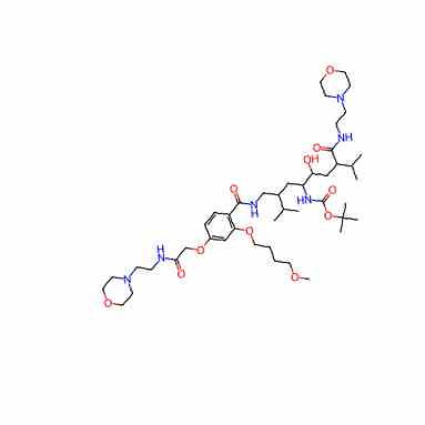 COCCCCOc1cc(OCC(=O)NCCN2CCOCC2)ccc1C(=O)NCC(CC(NC(=O)OC(C)(C)C)C(O)CC(C(=O)NCCN1CCOCC1)C(C)C)C(C)C